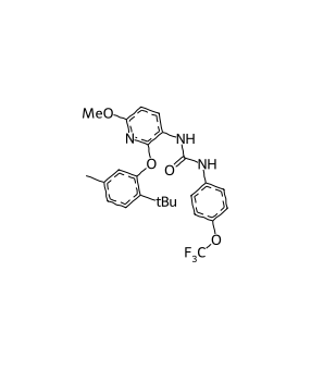 COc1ccc(NC(=O)Nc2ccc(OC(F)(F)F)cc2)c(Oc2cc(C)ccc2C(C)(C)C)n1